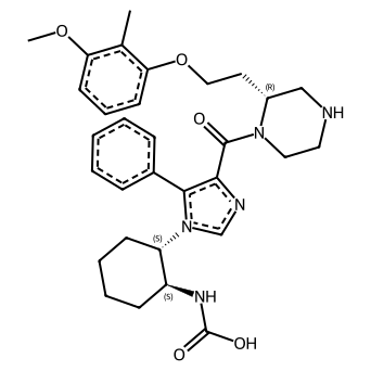 COc1cccc(OCC[C@@H]2CNCCN2C(=O)c2ncn([C@H]3CCCC[C@@H]3NC(=O)O)c2-c2ccccc2)c1C